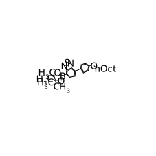 CCCCCCCCOc1ccc(-c2ccc(B3OC(C)(C)C(C)(C)O3)c3nsnc23)cc1